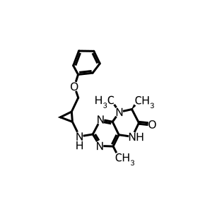 Cc1nc(NC2CC2COc2ccccc2)nc2c1NC(=O)[C@H](C)N2C